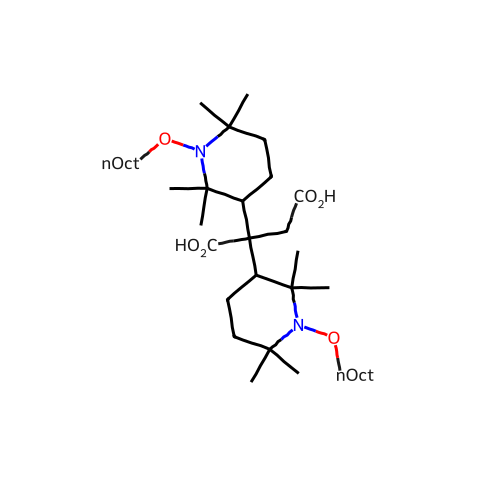 CCCCCCCCON1C(C)(C)CCC(C(CC(=O)O)(C(=O)O)C2CCC(C)(C)N(OCCCCCCCC)C2(C)C)C1(C)C